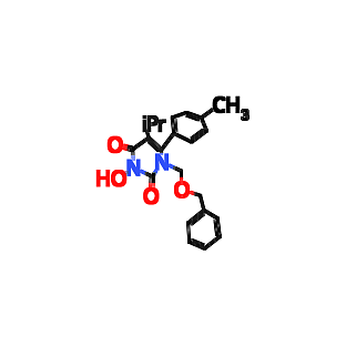 Cc1ccc(-c2c(C(C)C)c(=O)n(O)c(=O)n2COCc2ccccc2)cc1